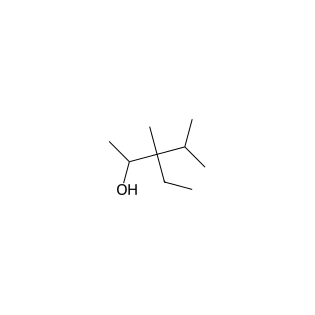 CCC(C)(C(C)C)C(C)O